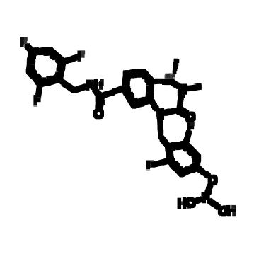 C[C@H]1c2ccc(C(=O)NCc3c(F)cc(F)cc3F)cc2N(Cc2c(F)cc(OP(O)O)cc2F)C(=O)N1C